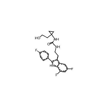 O=C(NCCc1c(-c2ccc(F)cc2)[nH]c2c(F)cc(F)cc12)NC1(CCO)CC1